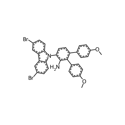 COc1ccc(-c2ccc(-n3c4ccc(Br)cc4c4cc(Br)ccc43)c(N)c2-c2ccc(OC)cc2)cc1